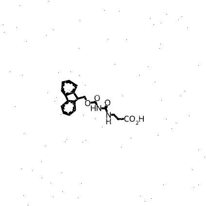 O=C(O)CCNC(=O)NC(=O)OCC1c2ccccc2-c2ccccc21